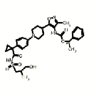 Cc1noc(C2CCN(c3ccc(C4(C(=O)NS(=O)(=O)CC(C)CO)CC4)cc3)CC2)c1NC(=O)O[C@H](C)c1ccccc1